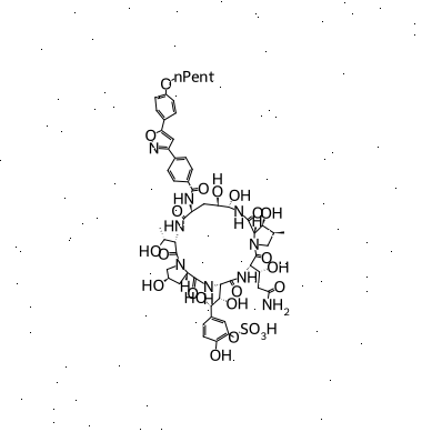 CCCCCOc1ccc(-c2cc(-c3ccc(C(=O)N[C@H]4C[C@@H](O)[C@H](O)NC(=O)[C@@H]5[C@@H](O)[C@@H](C)CN5C(=O)[C@H]([C@H](O)CC(N)=O)NC(=O)[C@H]([C@H](O)[C@@H](O)c5ccc(O)c(OS(=O)(=O)O)c5)NC(=O)[C@@H]5C[C@@H](O)CN5C(=O)[C@H]([C@@H](C)O)NC4=O)cc3)no2)cc1